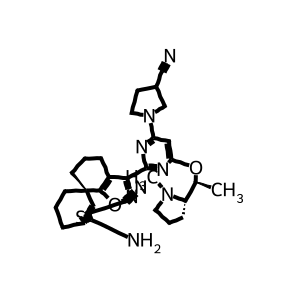 C[C@H](Oc1cc(N2CCC(C#N)C2)nc(-c2noc3c2CCC[C@@]32CCCc3sc(N)c(C#N)c32)n1)[C@@H]1CCCN1C